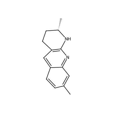 Cc1ccc2cc3c(nc2c1)N[C@@H](C)CC3